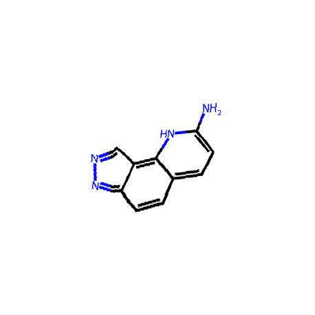 Nc1ccc2ccc3nncc3c2[nH]1